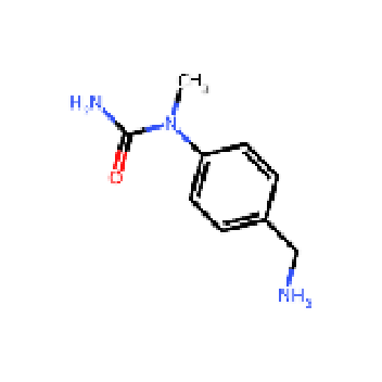 CN(C(N)=O)c1ccc(CN)cc1